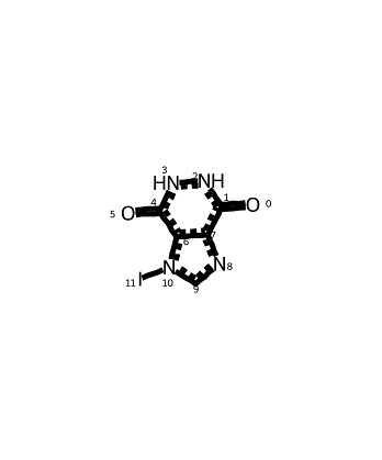 O=c1[nH][nH]c(=O)c2c1ncn2I